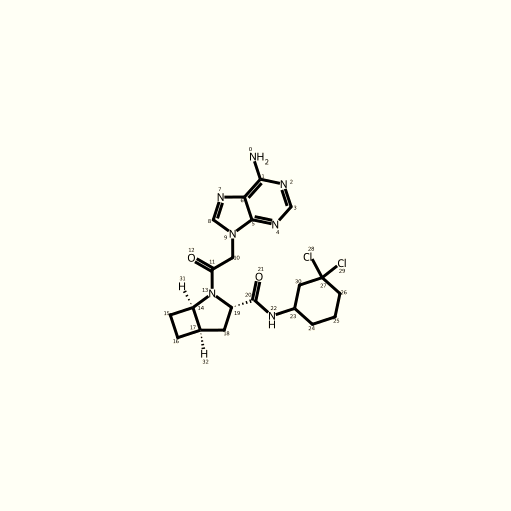 Nc1ncnc2c1ncn2CC(=O)N1[C@@H]2CC[C@@H]2C[C@H]1C(=O)NC1CCCC(Cl)(Cl)C1